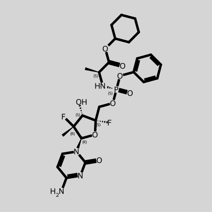 C[C@H](N[P@](=O)(OC[C@@]1(F)O[C@@H](n2ccc(N)nc2=O)[C@](C)(F)[C@@H]1O)Oc1ccccc1)C(=O)OC1CCCCC1